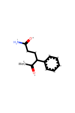 COC(=O)C(CCC(N)=O)c1[c]cccc1